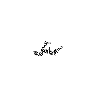 CC(CCO[Si](C)(C)C(C)(C)C)n1nc(-c2ccc(CN3CCN(C)CC3)o2)c2cnc(Nc3ccnc(-c4cn(COCC[Si](C)(C)C)n(C)c4=O)n3)cc21